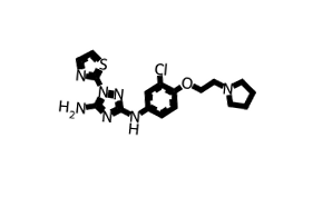 Nc1nc(Nc2ccc(OCCN3CCCC3)c(Cl)c2)nn1-c1nccs1